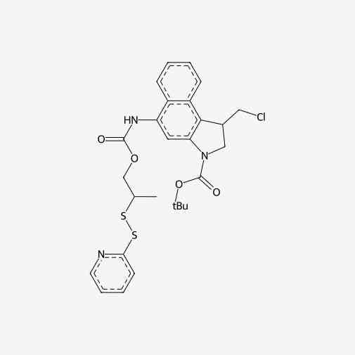 CC(COC(=O)Nc1cc2c(c3ccccc13)C(CCl)CN2C(=O)OC(C)(C)C)SSc1ccccn1